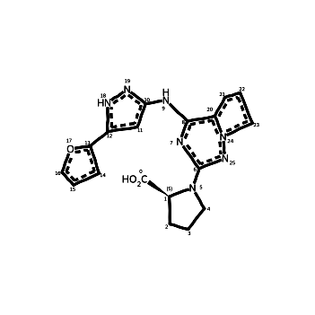 O=C(O)[C@@H]1CCCN1c1nc(Nc2cc(-c3ccco3)[nH]n2)c2cccn2n1